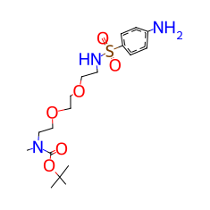 CN(CCOCCOCCNS(=O)(=O)c1ccc(N)cc1)C(=O)OC(C)(C)C